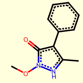 COn1[nH]c(C)c(-c2ccccc2)c1=O